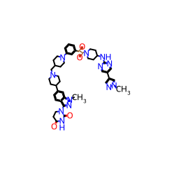 Cn1cc(-c2cnc(NC3CCN(S(=O)(=O)c4cccc(N5CCC(CN6CCC(c7ccc8c(N9CCC(=O)NC9=O)nn(C)c8c7)CC6)CC5)c4)CC3)nc2)cn1